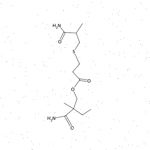 CCC(C)(COC(=O)CCSCC(C)C(N)=O)C(N)=O